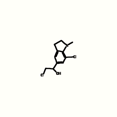 CN1CCc2cc(C(O)CCl)cc(Cl)c21